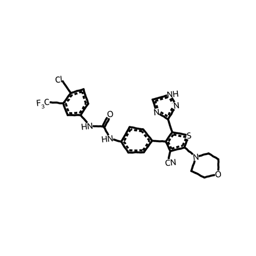 N#Cc1c(N2CCOCC2)sc(-c2nc[nH]n2)c1-c1ccc(NC(=O)Nc2ccc(Cl)c(C(F)(F)F)c2)cc1